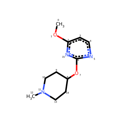 COc1ccnc(OC2CCN(C)CC2)n1